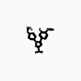 COc1ccc(-c2cc(C(F)F)nn2-c2ccc(SN)cc2)cc1F